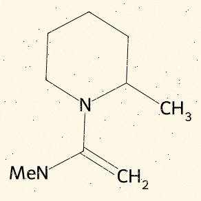 C=C(NC)N1CCCCC1C